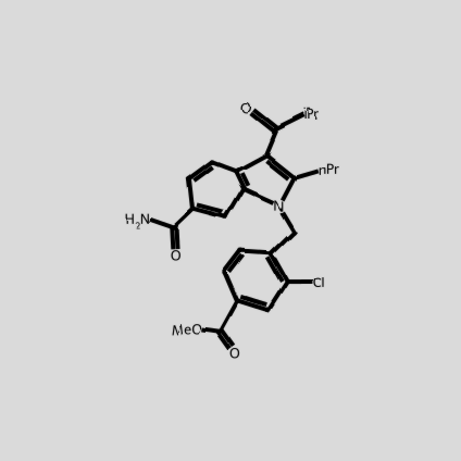 CCCc1c(C(=O)C(C)C)c2ccc(C(N)=O)cc2n1Cc1ccc(C(=O)OC)cc1Cl